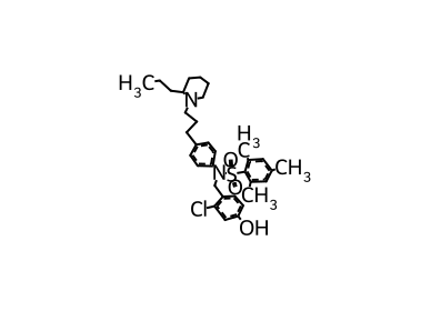 CCCC1CCCCN1CCCc1ccc(N(Cc2ccc(O)cc2Cl)S(=O)(=O)c2c(C)cc(C)cc2C)cc1